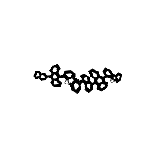 c1ccc2cc(-c3c4ccccc4c(-c4cccc5c4oc4cccc(-c6cccc7c(-c8c9ccccc9c(-c9cccc%10c9oc9ccccc9%10)c9ccccc89)cccc67)c45)c4ccccc34)ccc2c1